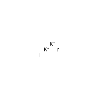 [I-].[I-].[K+].[K+]